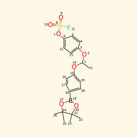 CC(Oc1ccc(OS(=O)(=O)F)cc1)Oc1ccc(B2OC(C)(C)C(C)(C)O2)cc1